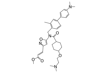 COC(=O)/C=C/c1cc(N(Cc2ccc(-c3ccc(N(C)C)cc3)cc2C)C(=O)C2CCC(OCCN(C)C)CC2)on1